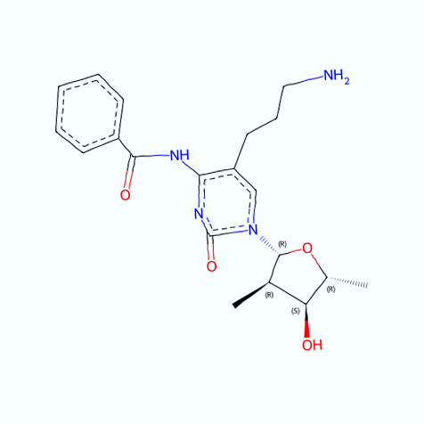 C[C@@H]1[C@H](O)[C@@H](C)O[C@H]1n1cc(CCCN)c(NC(=O)c2ccccc2)nc1=O